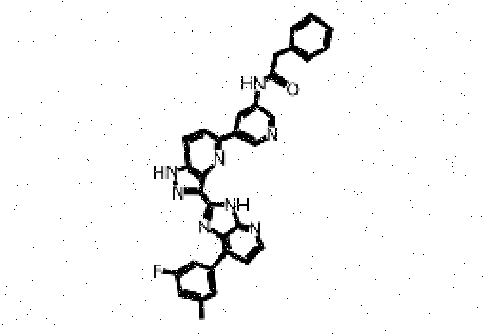 Cc1cc(F)cc(-c2ccnc3[nH]c(-c4n[nH]c5ccc(-c6cncc(NC(=O)Cc7ccccc7)c6)nc45)nc23)c1